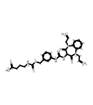 C=CCN1C(=O)C(NC(=O)Nc2cccc(COC(=O)NCCCC(=O)O)c2)C(=O)N(CC=C)c2ccccc21